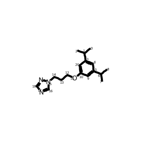 CC(C)c1[c]c(C(C)C)cc(OCCCn2cncn2)c1